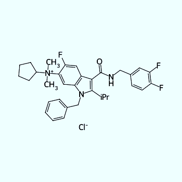 CC(C)c1c(C(=O)NCc2ccc(F)c(F)c2)c2cc(F)c([N+](C)(C)C3CCCC3)cc2n1Cc1ccccc1.[Cl-]